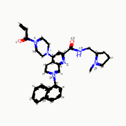 C=CC(=O)N1CCN(c2cc(C(=O)NCC3CCCN3C)nc3c2CCN(c2cccc4ccccc24)C3)CC1